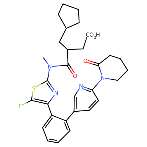 CN(C(=O)C(CC(=O)O)CC1CCCC1)c1nc(-c2ccccc2-c2ccc(N3CCCCC3=O)nc2)c(F)s1